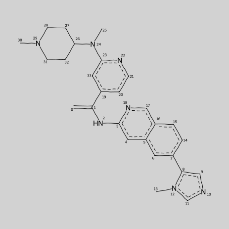 C=C(Nc1cc2cc(-c3cncn3C)ccc2cn1)c1ccnc(N(C)C2CCN(C)CC2)c1